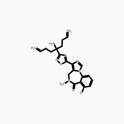 C=CCCC(N)(CCC=C)c1noc(-c2ncn3c2CN(C)C(=O)c2c(Cl)cccc2-3)n1